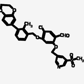 Cc1c(COc2cc(OCc3cncc(S(C)(=O)=O)c3)c(C=O)cc2Cl)cccc1-c1ccc2c(c1)OCCO2